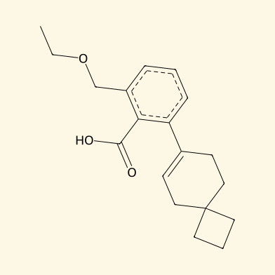 CCOCc1cccc(C2=CCC3(CCC3)CC2)c1C(=O)O